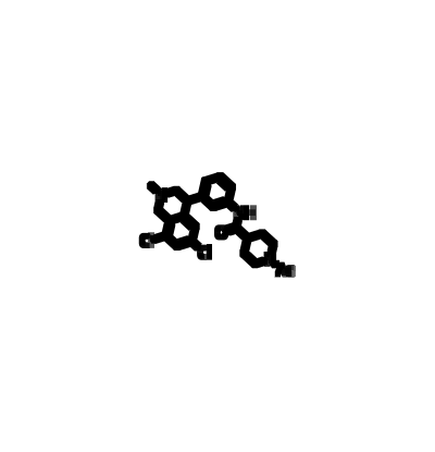 CC(=O)N1CCC(C(=O)Nc2cccc(C3CN(C)Cc4c(Cl)cc(Cl)cc43)c2)CC1